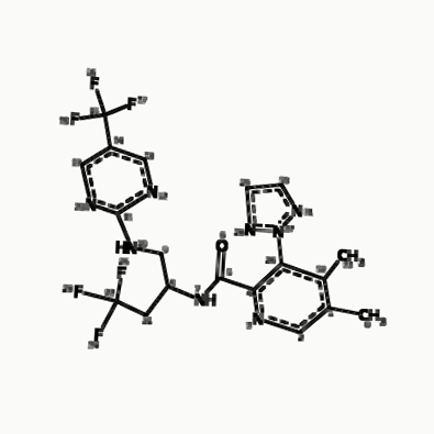 Cc1cnc(C(=O)NC(CNc2ncc(C(F)(F)F)cn2)CC(F)(F)F)c(-n2nccn2)c1C